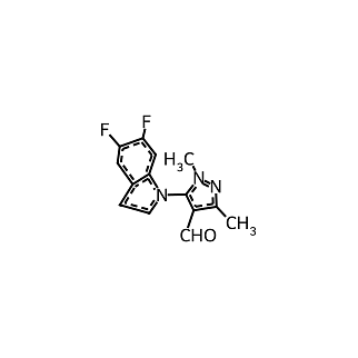 Cc1nn(C)c(-n2ccc3cc(F)c(F)cc32)c1C=O